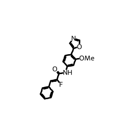 COc1cc(NC(=O)C(F)=Cc2ccccc2)ccc1-c1cnco1